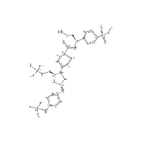 CCS(=O)(=O)c1ccc([C@H](CCO)NC(=O)c2ccc(N3C[C@@H](Oc4ccc(OC(F)(F)F)cc4)C[C@H]3COC(F)(F)F)cc2)cc1